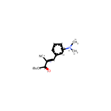 CC(C)COC(=O)/C(C#N)=C/c1cccc(N(C)C)c1